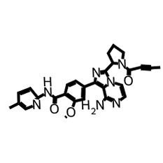 CC#CC(=O)N1CCCC1c1nc(-c2ccc(C(=O)Nc3ccc(C)cn3)c(OC)c2)c2c(N)nccn12